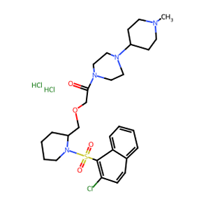 CN1CCC(N2CCN(C(=O)COCC3CCCCN3S(=O)(=O)c3c(Cl)ccc4ccccc34)CC2)CC1.Cl.Cl